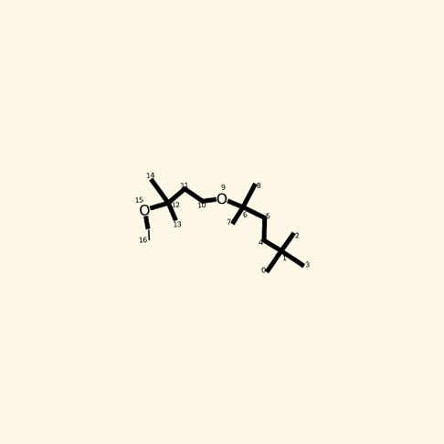 CC(C)(C)CCC(C)(C)OCCC(C)(C)OI